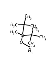 CO[Si](C)(C(C)(C)C)C(C)(C)C